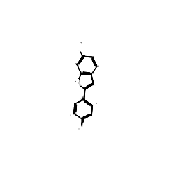 CCOc1ccc2cc(-c3ccc(F)cc3)[nH]c2c1